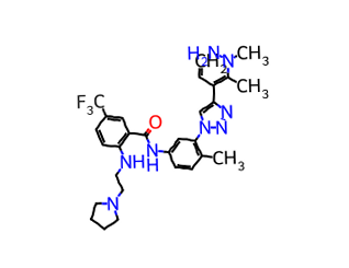 C=C/C(=C(/C)N(C)N)c1cn(-c2cc(NC(=O)c3cc(C(F)(F)F)ccc3NCCN3CCCC3)ccc2C)nn1